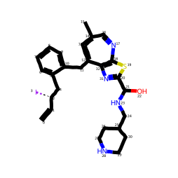 C=C[C@H](I)Cc1ccccc1CC1=C=C(C)C=Nc2sc(C(O)NCC3CCNCC3)nc21